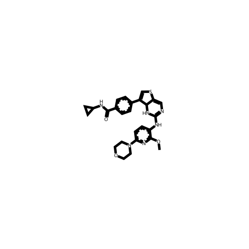 COc1nc(N2CCOCC2)ccc1NC1=NC=C2SC=C(c3ccc(C(=O)NC4CC4)cc3)C2N1